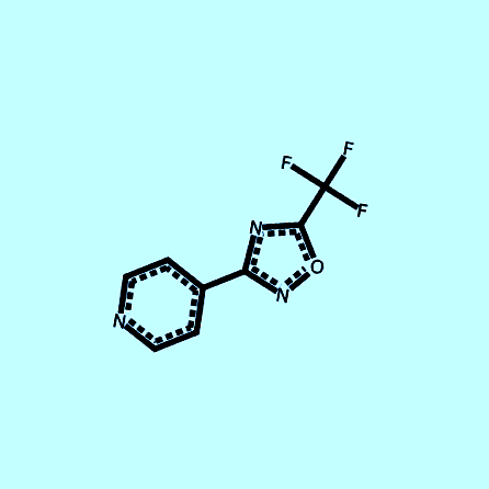 FC(F)(F)c1nc(-c2ccncc2)no1